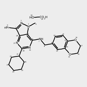 CCCc1nn(C)c2c(NCc3ccc4c(c3)OCCO4)nc(C3CCCCC3)nc12.O=C(O)O